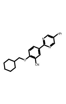 CCCc1cnc(-c2ccc(OCC3CC[CH]CC3)c(C#N)c2)nc1